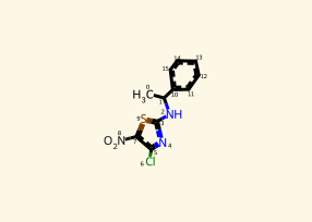 CC(Nc1nc(Cl)c([N+](=O)[O-])s1)c1ccccc1